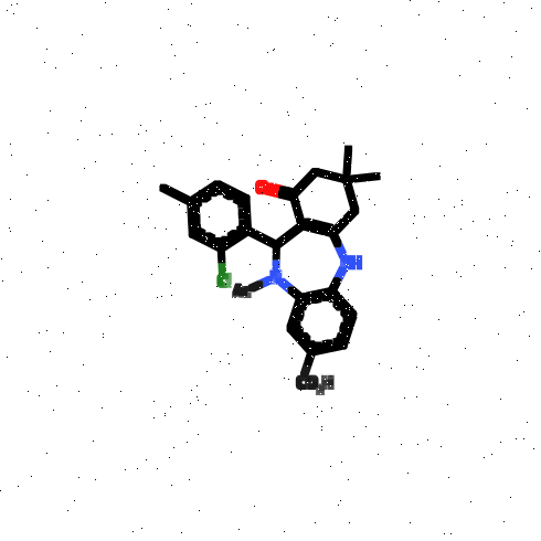 CC(=O)N1c2cc(C(=O)O)ccc2NC2=C(C(=O)CC(C)(C)C2)C1c1ccc(C)cc1Cl